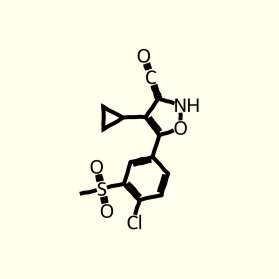 CS(=O)(=O)c1cc(C2=C(C3CC3)C(=C=O)NO2)ccc1Cl